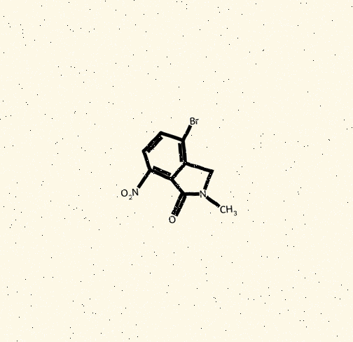 CN1Cc2c(Br)ccc([N+](=O)[O-])c2C1=O